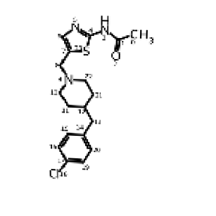 CC(=O)Nc1ncc(CN2CCC(Cc3ccc(Cl)cc3)CC2)s1